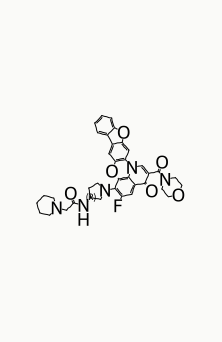 O=C(CN1CCCCC1)N[C@@H]1CCN(c2c(F)cc3c(=O)c(C(=O)N4CCOCC4)cn4c3c2Oc2cc3c(cc2-4)oc2ccccc23)C1